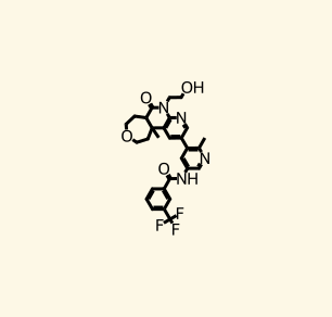 Cc1ncc(NC(=O)c2cccc(C(F)(F)F)c2)cc1-c1cnc2c(c1)C1(C)CCOCCC1C(=O)N2CCO